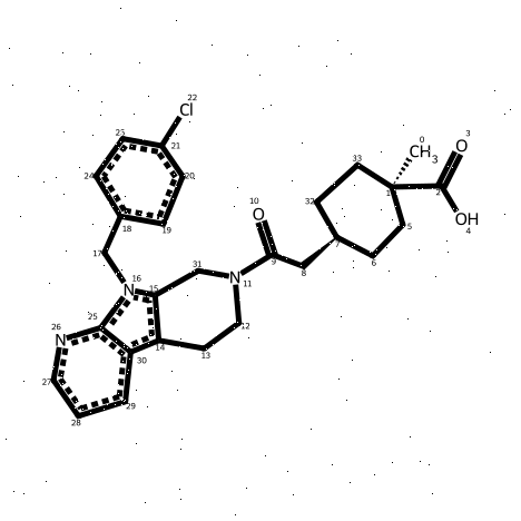 C[C@]1(C(=O)O)CC[C@@H](CC(=O)N2CCc3c(n(Cc4ccc(Cl)cc4)c4ncccc34)C2)CC1